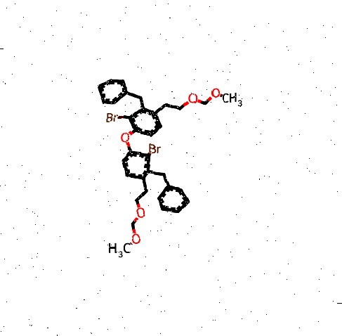 COCOCCc1ccc(Oc2ccc(CCOCOC)c(Cc3ccccc3)c2Br)c(Br)c1Cc1ccccc1